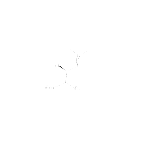 CCCC(C)C(C(C)CC)[C@@H](Cl)C=[N+](C)C